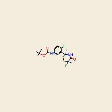 CC(C)(C)OC(=O)Nc1ccc(F)c([C@]2(C)CC[C@@](C)(F)C(=O)N2)c1